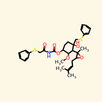 COC1C(OC(=O)NC(=O)CSc2ccccc2)CCC(O)(CSc2ccccc2)C1C1(C)OC1CC=C(C)C